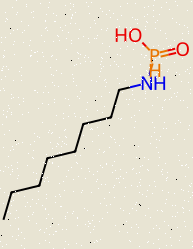 CCCCCCCCN[PH](=O)O